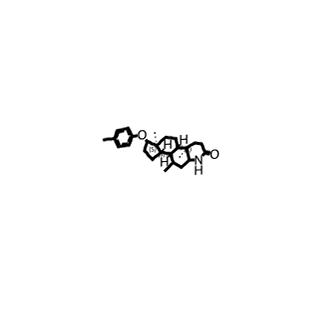 Cc1ccc(OC2CC[C@H]3[C@@H]4C(C)CC5NC(=O)CC[C@]5(C)[C@@H]4CC[C@]23C)cc1